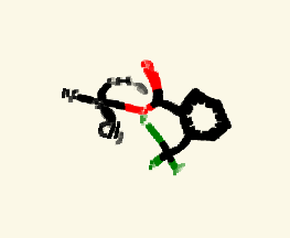 C[Si](C)(C)OC(=O)c1ccccc1C(F)(F)F